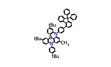 Cc1cc2c3c(c1)N(c1ccc(-c4cccc5c4-c4ccccc4C5(c4ccccc4)c4ccccc4)cc1)c1cc(C(C)(C)C)ccc1B3c1cc(C(C)(C)C)ccc1N2c1ccc(C(C)(C)C)cc1